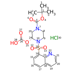 CC(C)(C)OC(=O)N1CCN(S(=O)(=O)c2cccc3cccnc23)[C@H](OC(=O)O)C1.Cl